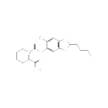 CCCCC1Oc2cc(F)c(OC(=O)N3CCCCC3C(=O)O)cc2O1